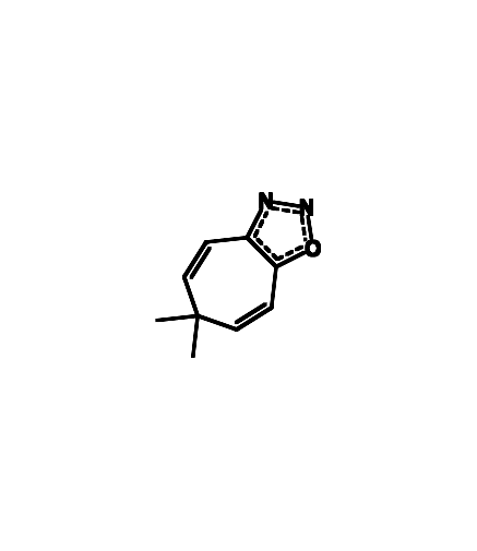 CC1(C)C=Cc2nnoc2C=C1